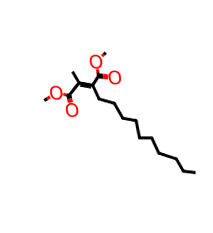 CCCCCCCCCCC(C(=O)OC)=C(C)C(=O)OC